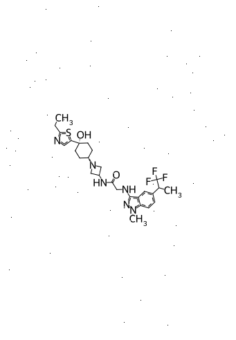 CCc1ncc([C@]2(O)CC[C@H](N3CC(NC(=O)CNc4nn(C)c5ccc(C(C)C(F)(F)F)cc45)C3)CC2)s1